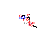 CCCCOP(=O)(O)OC[C@H]1C[C@@H](OC)[C@H](n2ccc(=O)[nH]c2=O)O1.[Co]